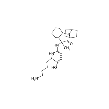 CC(C=O)(NC(=O)NC(CCCCN)C(=O)O)C1CCCCC1N1C2CCC1CC2